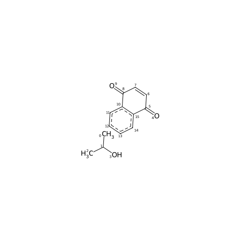 CC(C)O.O=C1C=CC(=O)c2ccccc21